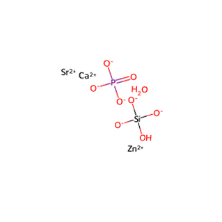 O.O=P([O-])([O-])[O-].[Ca+2].[O-][Si]([O-])([O-])O.[Sr+2].[Zn+2]